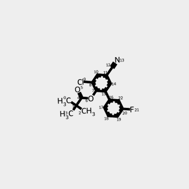 CC(C)(C)C(=O)Oc1c(Cl)cc(C#N)cc1-c1cccc(F)c1